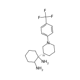 NC1CCCCC1(N)[C@H]1CCCN(c2ccc(C(F)(F)F)cc2)C1